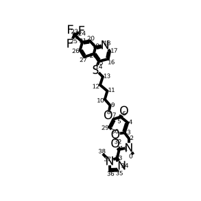 CN(Cc1cc(=O)c(OCCCCCSc2ccnc3cc(C(F)(F)F)ccc23)co1)C(=O)c1nccn1C